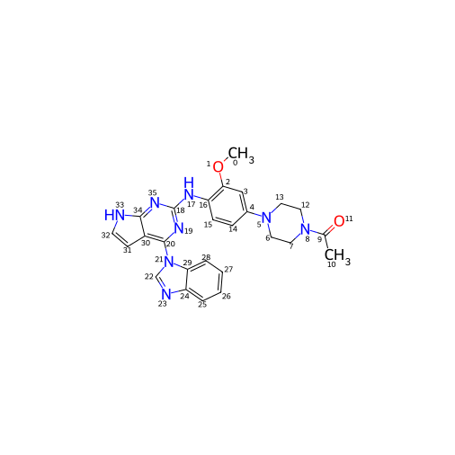 COc1cc(N2CCN(C(C)=O)CC2)ccc1Nc1nc(-n2cnc3ccccc32)c2cc[nH]c2n1